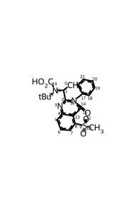 CC(c1nc2cccc(S(C)(=O)=O)c2c(=O)n1-c1ccccc1)N(C(=O)O)C(C)(C)C